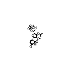 COC1[C@@H](OC(C)C)[C@@H](C(C)OP(=O)(O)O)O[C@H]1n1ccc(=O)[nH]c1=O